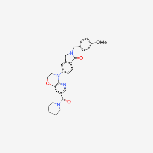 COc1ccc(CN2Cc3cc(N4CCOc5cc(C(=O)N6CCCCC6)cnc54)ccc3C2=O)cc1